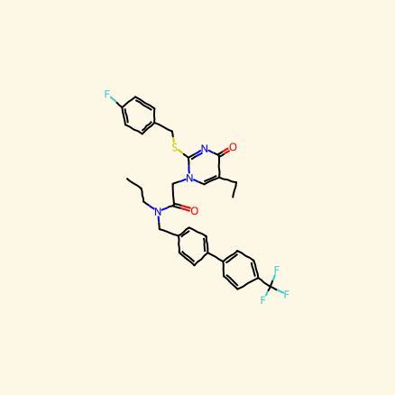 CCCN(Cc1ccc(-c2ccc(C(F)(F)F)cc2)cc1)C(=O)Cn1cc(CC)c(=O)nc1SCc1ccc(F)cc1